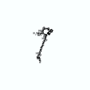 N=C(N)NCCC[C@@H]1NC(=O)C(CCCNC(=O)CCOCCOCCOCCOCCNC(=O)Cn2cc(CCCF)nn2)n2cc(nn2)C(c2ccccc2)NC(=O)CNC(=O)CNC1=O